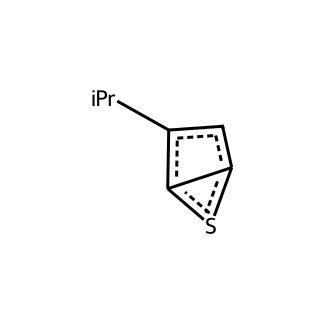 CC(C)c1cc2sc1-2